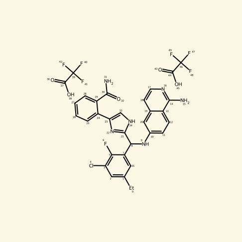 CCc1cc(Cl)c(F)c(C(Nc2ccc3c(N)nccc3c2)c2nc(-c3ccccc3C(N)=O)c[nH]2)c1.O=C(O)C(F)(F)F.O=C(O)C(F)(F)F